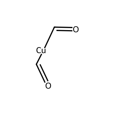 O=[CH][Cu][CH]=O